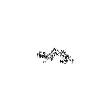 COCCN(Cc1ccc(-c2cc3nccc(Oc4ccc(NC(=S)NC5CC5)cc4F)c3s2)nc1)C(=O)CO